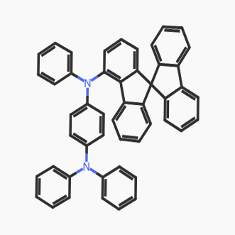 c1ccc(N(c2ccccc2)c2ccc(N(c3ccccc3)c3cccc4c3-c3ccccc3C43c4ccccc4-c4ccccc43)cc2)cc1